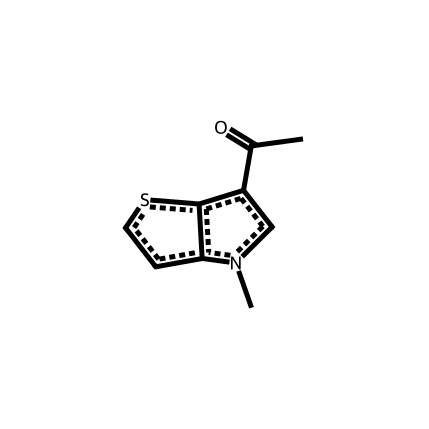 CC(=O)c1cn(C)c2ccsc12